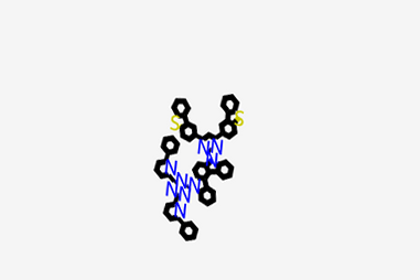 c1ccc(-c2cccc(-c3nc(-c4cccc(-c5ccccc5)n4)nc(-n4c5ccccc5c5c6c7ccccc7n(-c7nc(-c8ccc9sc%10ccccc%10c9c8)cc(-c8ccc9sc%10ccccc%10c9c8)n7)c6ccc54)n3)n2)cc1